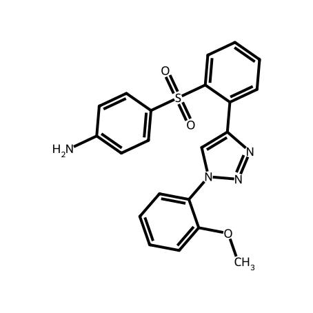 COc1ccccc1-n1cc(-c2ccccc2S(=O)(=O)c2ccc(N)cc2)nn1